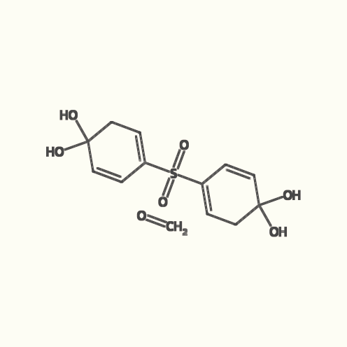 C=O.O=S(=O)(C1=CCC(O)(O)C=C1)C1=CCC(O)(O)C=C1